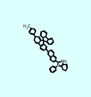 Cc1ccc(C2C=C3C(=CC2)c2ccc(-c4ccc5cc(C6NC7=C(CCC=C7)N6c6ccccc6)ccc5c4)cc2C32c3ccccc3C3C=CC=CC32)cc1